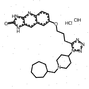 Cl.Cl.O=c1[nH]c2cc3cc(OCCCc4nnnn4C4CCN(CC5CCCCCC5)CC4)ccc3nc2[nH]1